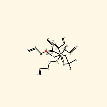 C=CCO[O][Zr](=[O])([CH2]C(C)(C)C)([O]OCC=C)([C](=O)C=C)([C](=O)C=C)[C](=O)C=C